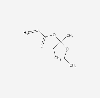 C=CC(=O)OC(C)(CC)OCC